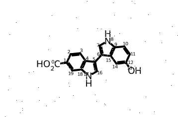 O=C(O)c1ccc2c(-c3c[nH]c4ccc(O)cc34)c[nH]c2c1